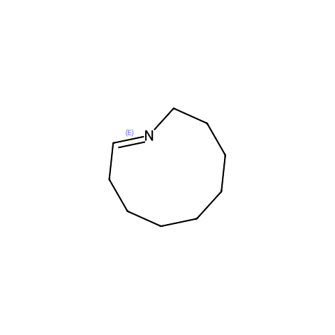 C1=N/CCCCCCCC/1